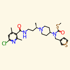 CSC(=O)N(Cc1ccsc1)C1CCN([C@H](C)CCNC(=O)c2c(C)cc(Cl)nc2C)CC1